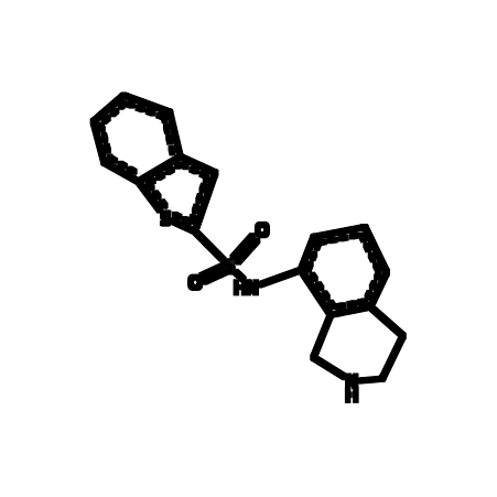 O=S(=O)(Nc1cccc2c1CNCC2)c1cc2ccccc2s1